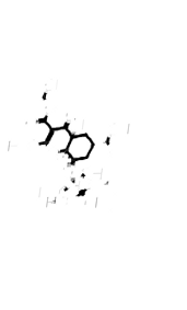 CCOC(=O)C1=C(C)O[C@]2(C)C(O[Si](C)(C)C(C)(C)C)C[C@@H](C(C)C)C[C@H]2C1=O